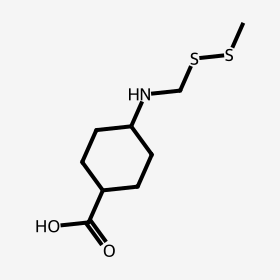 CSSCNC1CCC(C(=O)O)CC1